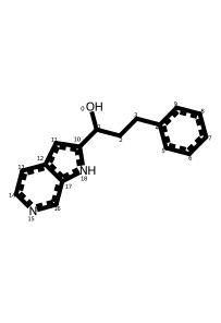 OC(CCc1ccccc1)c1cc2ccncc2[nH]1